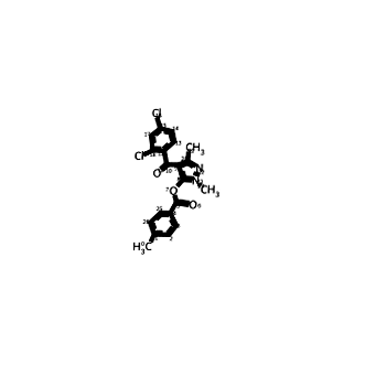 Cc1ccc(C(=O)Oc2c(C(=O)c3ccc(Cl)cc3Cl)c(C)nn2C)cc1